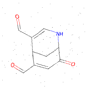 O=CC1=CNC2CC1C(C=O)=CC2=O